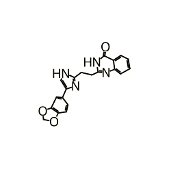 O=c1[nH]c(CCc2nc(-c3ccc4c(c3)OCO4)c[nH]2)nc2ccccc12